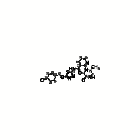 C[C@@H]1CNC(=O)CN1c1ncccc1C(=O)Nc1nnc(OCc2ccc(Cl)cc2)s1